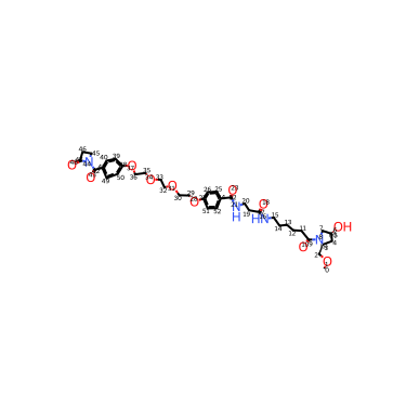 COC[C@@H]1C[C@@H](O)CN1C(=O)CCCCCNC(=O)CCNC(=O)c1ccc(OCCOCCOCCOc2ccc(C(=O)N3CCC3=O)cc2)cc1